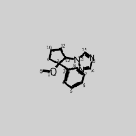 COC1(c2ccccc2)CCCC1n1cncn1